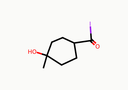 CC1(O)CCC(C(=O)I)CC1